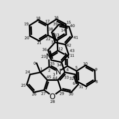 CC1(c2nc(-c3ccccc3)nc(-c3cccc4ccccc34)n2)CC=Cc2oc3cccc(-c4ccc5ccccc5c4)c3c21